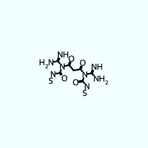 N=C(N)N(C(=O)CC(=O)N(C(=N)N)C(=O)N=S)C(=O)N=S